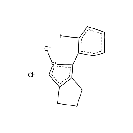 [O-][s+]1c(Cl)c2c(c1-c1ccccc1F)CCC2